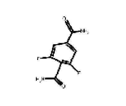 NC(=O)c1cc(F)c(C(N)=O)c(F)c1